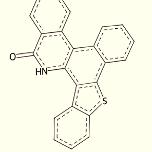 O=c1[nH]c2c(c3ccccc13)c1ccccc1c1sc3ccccc3c21